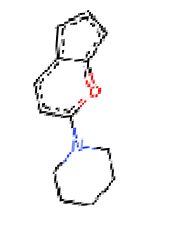 c1cc2ccc(N3CCCCC3)oc-2c1